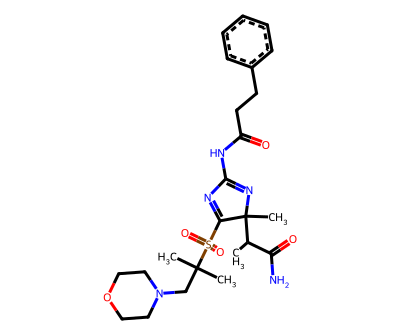 CC(C(N)=O)C1(C)N=C(NC(=O)CCc2ccccc2)N=C1S(=O)(=O)C(C)(C)CN1CCOCC1